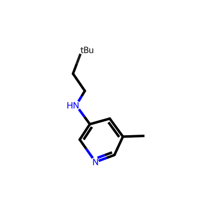 Cc1cncc(NCCC(C)(C)C)c1